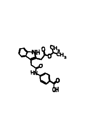 CC(C)OC(=O)Cc1[nH]c2ccccc2c1CC(=O)Nc1ccc(C(=O)O)cc1